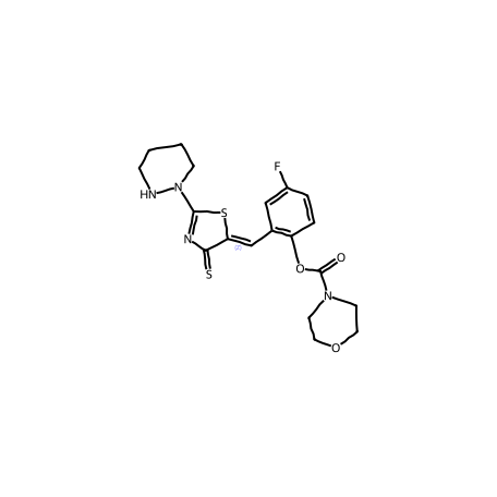 O=C(Oc1ccc(F)cc1/C=C1\SC(N2CCCCN2)=NC1=S)N1CCOCC1